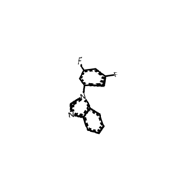 Fc1cc(F)cc(-n2cnc3ccccc32)c1